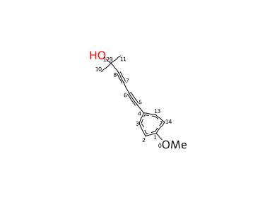 COc1ccc(C#CC#CC(C)(C)O)cc1